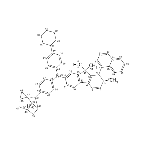 CC1C=CC2=C(C1c1cccc3ccccc13)C(C)(C)c1cc(N(c3ccc(C4CCCCC4)cc3)c3ccc(C4C5CC6CC7CC74[C@H]65)cc3)ccc12